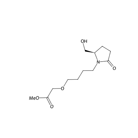 COC(=O)COCCCCN1C(=O)CC[C@@H]1CO